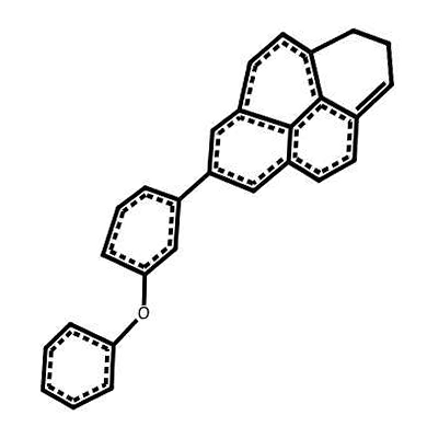 C1=c2ccc3cc(-c4cccc(Oc5ccccc5)c4)cc4ccc(c2c43)CC1